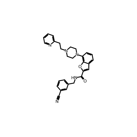 N#Cc1cccc(CNC(=O)c2cc3cccc(N4CCN(CCc5ccccn5)CC4)c3o2)c1